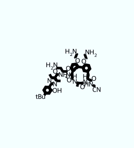 Cc1nc(-c2ccc(C(C)(C)C)cc2O)nc(C)c1C(=O)NC(CCN)C(=O)N(C)C1C(=O)NC(C)C(=O)NC(C(=O)NCC#N)Cc2ccc(OCCN)c(c2)-c2cc1ccc2OCCN